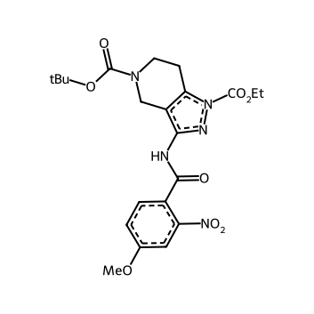 CCOC(=O)n1nc(NC(=O)c2ccc(OC)cc2[N+](=O)[O-])c2c1CCN(C(=O)OC(C)(C)C)C2